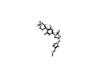 COCc1cn(C[C@H]2CN(c3cc(F)c(C4=CCS(=O)(=O)CC4)c(F)c3)C(=O)O2)nn1